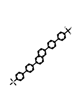 C[Si](C)(C)c1ccc(-c2ccc(-c3ccc4cc(-c5ccc(-c6ccc(C(F)(F)F)cc6)cc5)ccc4c3)cc2)cc1